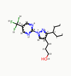 CCC(CC)c1nn(-c2ncc(C(F)(F)F)cn2)cc1CCCO